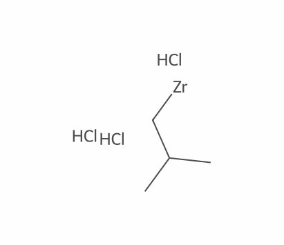 CC(C)[CH2][Zr].Cl.Cl.Cl